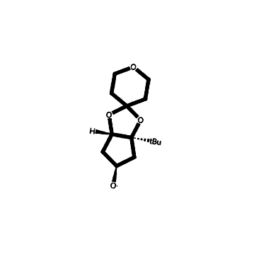 CC(C)(C)[C@]12C[C@@H]([O])C[C@@H]1OC1(CCOCC1)O2